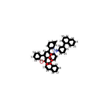 C1=CC2C=C2C(N(c2ccc(-c3cccc4ccccc34)cc2)c2cccc(-c3cccc4ccccc34)c2)=C1c1cc2c3c(cccc3c1)Oc1ccccc1-2